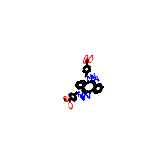 COC(=O)c1ccc(Cn2nnc3c2-c2ccccc2-c2c(nnn2Cc2ccc(C(=O)OC)cc2)-c2ccccc2-3)cc1